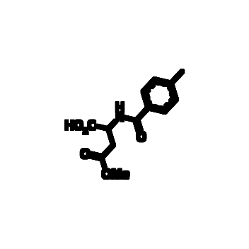 COC(=O)CC(NC(=O)c1ccc(C)cc1)C(=O)O